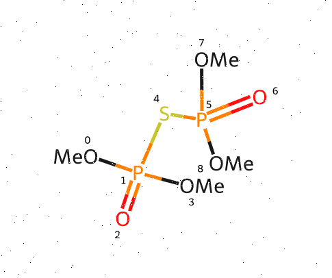 COP(=O)(OC)SP(=O)(OC)OC